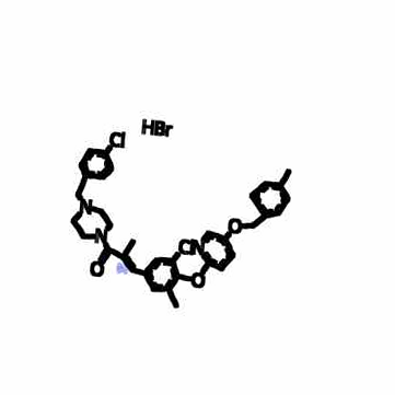 Br.C/C(=C\c1cc(C)c(Oc2ccc(OCc3ccc(C)cc3)cn2)c(Cl)c1)C(=O)N1CCN(Cc2ccc(Cl)cc2)CC1